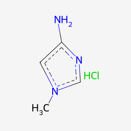 Cl.Cn1cnc(N)c1